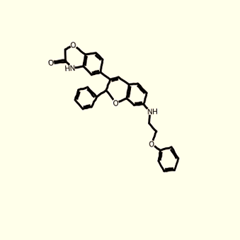 O=C1COc2ccc(C3=Cc4ccc(NCCOc5ccccc5)cc4OC3c3ccccc3)cc2N1